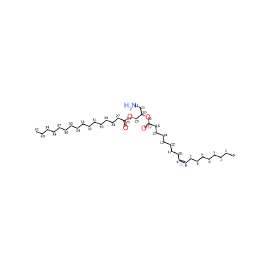 CCCCCCCC/C=C\CCCCCCCC(=O)OC(CN)COC(=O)CCCCCCCCCCCCCCC